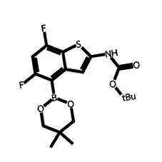 CC1(C)COB(c2c(F)cc(F)c3sc(NC(=O)OC(C)(C)C)cc23)OC1